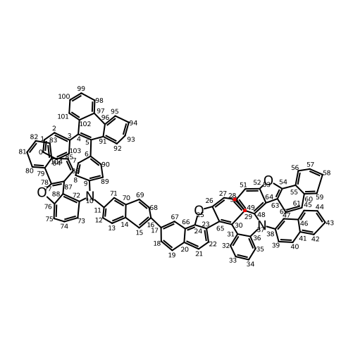 c1ccc(-c2c(-c3ccc(N(c4ccc5cc(-c6ccc7ccc8c(oc9cccc(-c%10ccccc%10N(c%10ccc%11ccccc%11c%10)c%10cccc%11oc%12c%13ccccc%13ccc%12c%10%11)c98)c7c6)ccc5c4)c4cccc5oc6c7ccccc7ccc6c45)cc3)c3ccccc3c3ccccc23)cc1